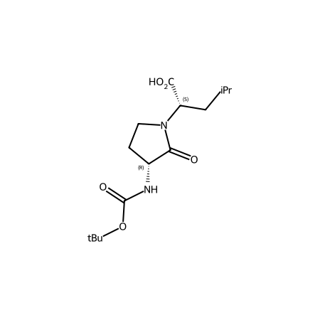 CC(C)C[C@@H](C(=O)O)N1CC[C@@H](NC(=O)OC(C)(C)C)C1=O